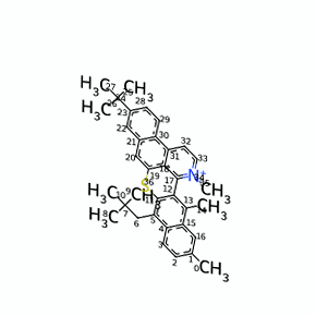 Cc1ccc2c(CC(C)(C)C)c3c(c(C)c2c1)-c1c2c(cc4cc(C(C)(C)C)ccc4c2cc[n+]1C)S3